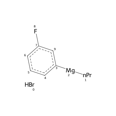 Br.CC[CH2][Mg][c]1cccc(F)c1